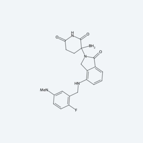 BC1(N2Cc3c(NCc4cc(NC)ccc4F)cccc3C2=O)CCC(=O)NC1=O